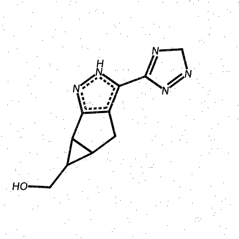 OCC1C2Cc3c(n[nH]c3C3=NCN=N3)C12